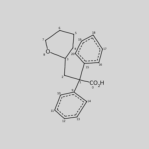 O=C(O)C(CC1CCCCO1)(c1ccccc1)c1ccccc1